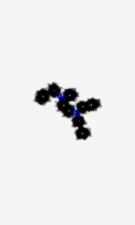 c1ccc(-c2ccc(N(c3ccc4ccccc4c3)c3ccc4ccc5c(c4c3)c3ccccc3n5-c3cccc(-c4ccccc4)c3)cc2)cc1